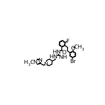 COc1ccc(Br)cc1CCc1c(F)cccc1C(=O)NC(=N)NCC1CCN(Cc2cn(C)cn2)CC1